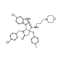 Cc1ccc(SC2(C(=O)NCCCN3CCOCC3)CC(=O)N(Cc3ccc(Cl)cc3)C2c2n[nH]c3cc(Cl)ccc23)cc1